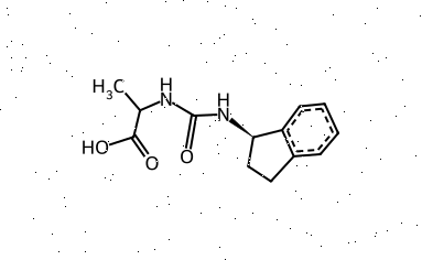 CC(NC(=O)N[C@@H]1CCc2ccccc21)C(=O)O